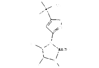 COC(C)(C)c1cc(N2C(=O)N(C)C(C)C2O)no1